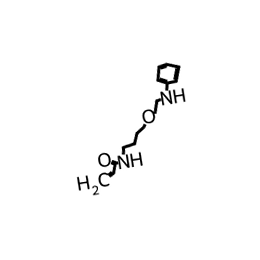 C=CC(=O)NCCCCOCCNc1ccccc1